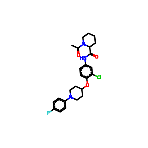 CC(=O)N1CCCCC1C(=O)Nc1ccc(OC2CCN(c3ccc(F)cc3)CC2)c(Cl)c1